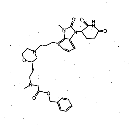 CN(CC[C@@H]1CN(CCCc2cccc3c2n(C)c(=O)n3C2CCC(=O)NC2=O)CCO1)CC(=O)OCc1ccccc1